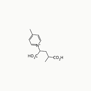 Cc1cc[n+](C(CC(C)C(=O)O)C(=O)O)cc1